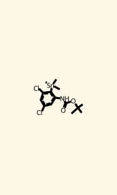 CC(C)(C)OC(=O)Nc1cc(Cl)cc(Cl)[c]1[Sn]([CH3])([CH3])[CH3]